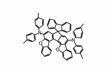 Cc1ccc(N(c2ccc(C)cc2)c2cc3c(c4c2oc2ccccc24)-c2c(cc(N(c4ccc(C)cc4)c4ccc(C)cc4)c4c2oc2ccccc24)C32c3ccccc3-c3ccccc32)cc1